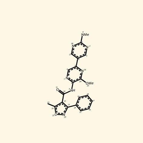 CNc1ncc(-c2cnc(NC(=O)c3c(-c4ccccc4)noc3C)c(OC)n2)cn1